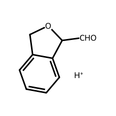 O=CC1OCc2ccccc21.[H+]